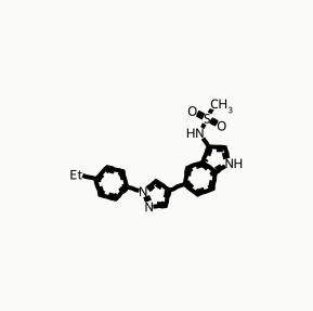 CCc1ccc(-n2cc(-c3ccc4[nH]cc(NS(C)(=O)=O)c4c3)cn2)cc1